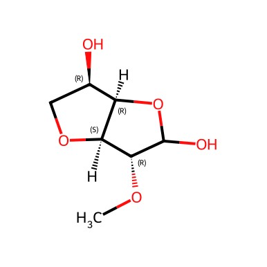 CO[C@H]1C(O)O[C@H]2[C@@H]1OC[C@H]2O